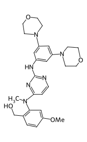 COc1ccc(CO)c(N(C)c2ccnc(Nc3cc(N4CCOCC4)cc(N4CCOCC4)c3)n2)c1